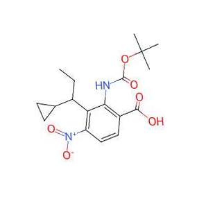 CCC(c1c([N+](=O)[O-])ccc(C(=O)O)c1NC(=O)OC(C)(C)C)C1CC1